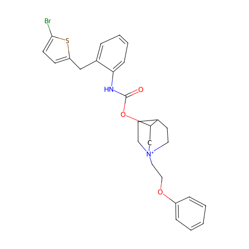 O=C(Nc1ccccc1Cc1ccc(Br)s1)OC1C[N+]2(CCOc3ccccc3)CCC1CC2